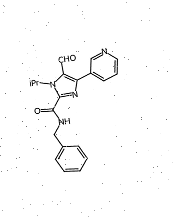 CC(C)n1c(C(=O)NCc2ccccc2)nc(-c2cccnc2)c1C=O